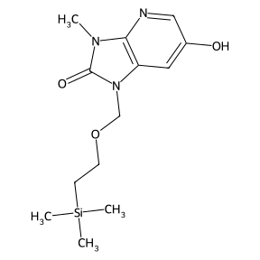 Cn1c(=O)n(COCC[Si](C)(C)C)c2cc(O)cnc21